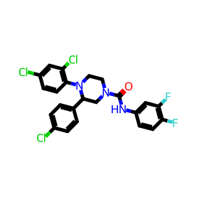 O=C(Nc1ccc(F)c(F)c1)N1CCN(c2ccc(Cl)cc2Cl)C(c2ccc(Cl)cc2)C1